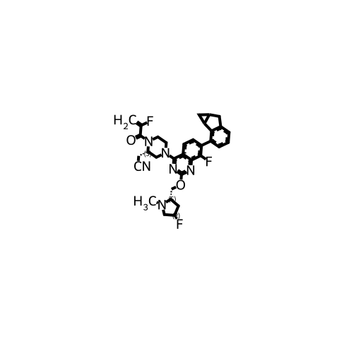 C=C(F)C(=O)N1CCN(c2nc(OC[C@@H]3C[C@@H](F)CN3C)nc3c(F)c(-c4cccc5c4C4CC4C5)ccc23)C[C@@H]1CC#N